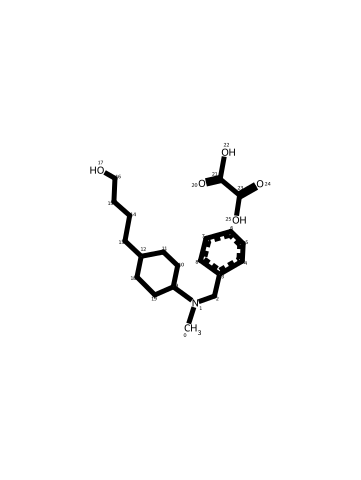 CN(Cc1ccccc1)C1CCC(CCCCO)CC1.O=C(O)C(=O)O